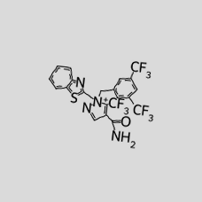 NC(=O)C1=C(C(F)(F)F)[N+](Cc2cc(C(F)(F)F)cc(C(F)(F)F)c2)(c2nc3ccccc3s2)N=C1